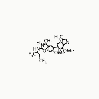 CCN(C(=O)NC(CCC(F)(F)F)C(F)(F)F)[C@H](C)c1cc(-c2cn3c(C)cnc3c(OC)n2)c(OC)cn1